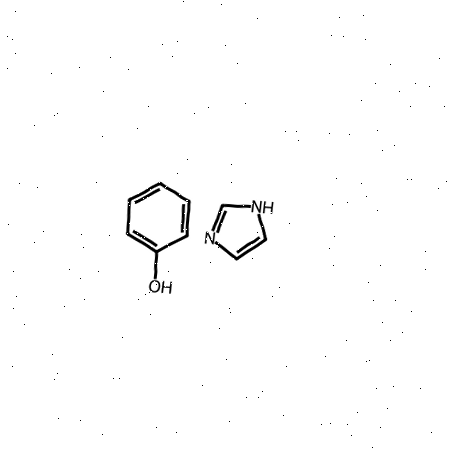 Oc1ccccc1.c1c[nH]cn1